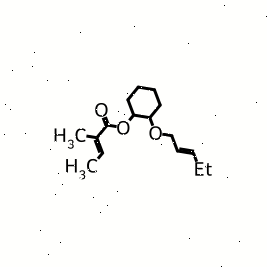 CC=C(C)C(=O)OC1CCCCC1OCC=CCC